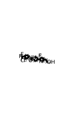 O=C(Nc1ccc(C(F)(F)F)c(Cl)c1)N1CC=C(c2ncc(CCO)cc2F)CC1